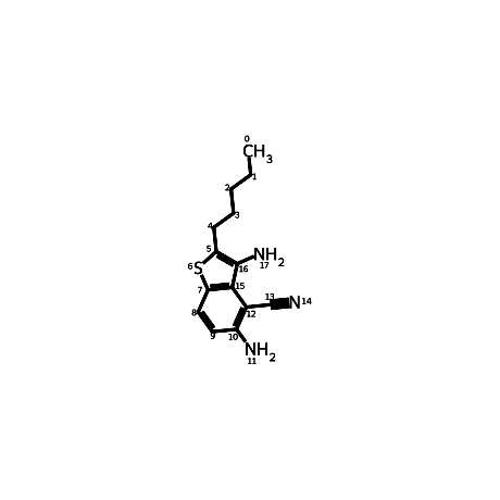 CCCCCc1sc2ccc(N)c(C#N)c2c1N